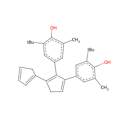 Cc1cc(C2=CCC(C3=CC=CC3)=C2c2cc(C)c(O)c(C(C)(C)C)c2)cc(C(C)(C)C)c1O